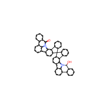 O=c1c2ccccc2c2cccc3c4ccc5c(c4n1c23)-c1ccccc1C51c2ccccc2-c2c1ccc1c3cccc4c3n(c21)C(O)c1ccccc1-4